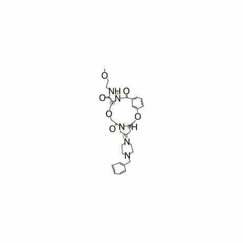 COCCNC(=O)[C@@H]1COCC(=O)N2C[C@@H](N3CCN(Cc4ccccc4)CC3)C[C@H]2COc2cccc(c2)C(=O)N1C